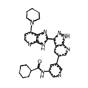 O=C(Nc1cncc(-c2cnc3[nH]nc(-c4nc5c(N6CCCCC6)ccnc5[nH]4)c3c2)c1)C1CCCCC1